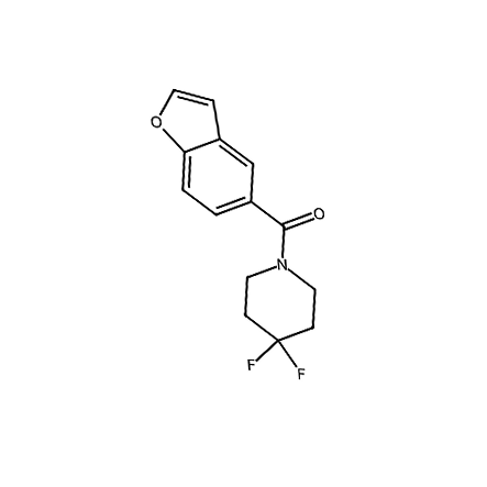 O=C(c1ccc2occc2c1)N1CCC(F)(F)CC1